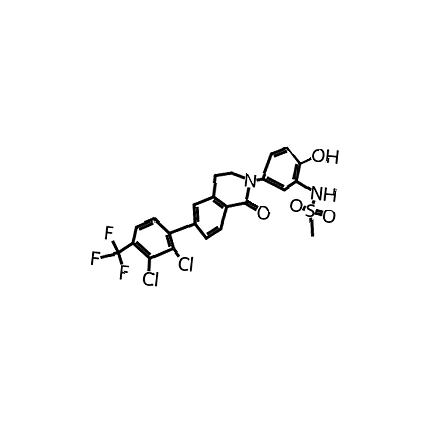 CS(=O)(=O)Nc1cc(N2CCc3cc(-c4ccc(C(F)(F)F)c(Cl)c4Cl)ccc3C2=O)ccc1O